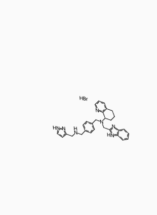 Br.c1cnc2c(c1)CCCC2N(Cc1ccc(CNCc2cc[nH]n2)cc1)Cc1nc2ccccc2[nH]1